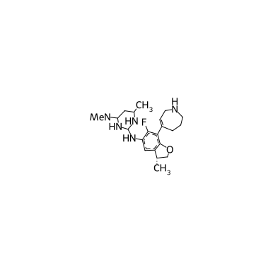 CNC1CC(C)NC(Nc2cc3c(c(C4=CCNCCC4)c2F)OC[C@@H]3C)N1